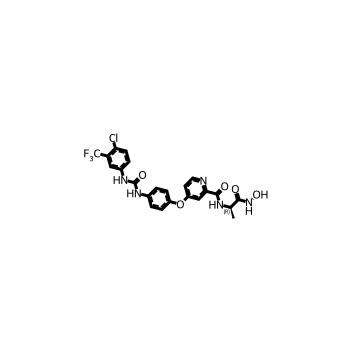 C[C@@H](NC(=O)c1cc(Oc2ccc(NC(=O)Nc3ccc(Cl)c(C(F)(F)F)c3)cc2)ccn1)C(=O)NO